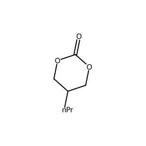 CCCC1COC(=O)OC1